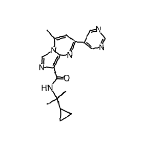 Cc1cc(-c2cncnc2)nc2c(C(=O)NC(C)(C)C3CC3)ncn12